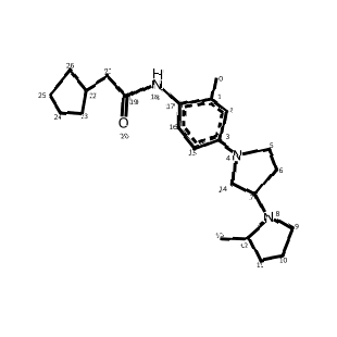 Cc1cc(N2CCC(N3CCCC3C)C2)ccc1NC(=O)CC1CCCC1